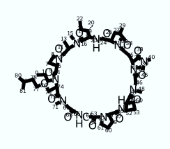 CCCN1C(=O)C2CCN2C(=O)C(C)N(C)C(=O)C([C@@H](C)CC)NC(=O)C(CC(C)C)N(C)C(=O)CC(C(=O)N(C)C)N(C)C(=O)CN(C)C(=O)C2(CCC2)NC(=O)C2CCCN2C(=O)CNC(=O)CN(C)C(=O)C1COCCC(C)C